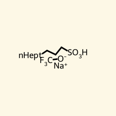 CCCCCCCCCCS(=O)(=O)O.[Na+].[O-]C(F)(F)F